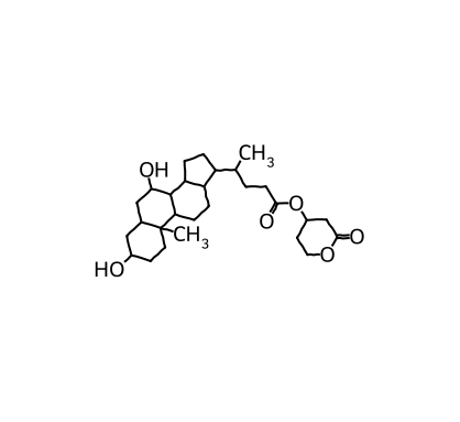 CC(CCC(=O)OC1CCOC(=O)C1)C1CCC2C1CCC1C2C(O)CC2CC(O)CCC21C